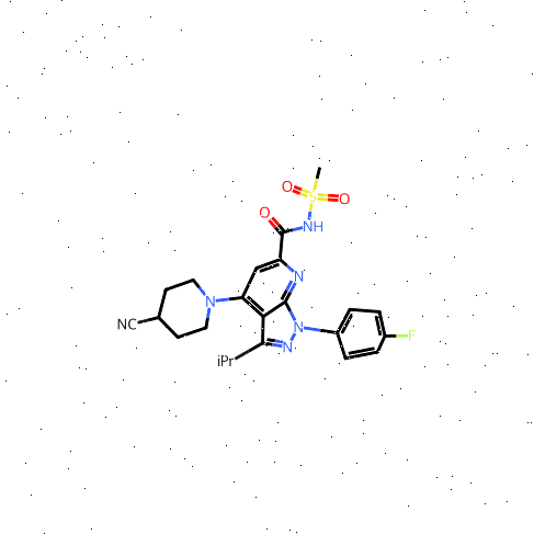 CC(C)c1nn(-c2ccc(F)cc2)c2nc(C(=O)NS(C)(=O)=O)cc(N3CCC(C#N)CC3)c12